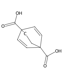 O=C(O)C12C=CC(C(=O)O)(C=C1)CC2